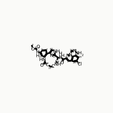 COC(=O)Nc1ccc2c(c1)NC(=O)CCCNC[C@H](NC(=O)/C=C/c1cc(Cl)ccc1N(N)/C=N\N)c1nc-2c[nH]1